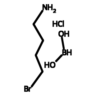 Cl.NCCCCBr.OBO